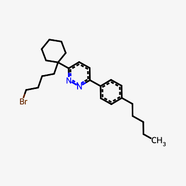 CCCCCc1ccc(-c2ccc(C3(CCCCBr)CCCCC3)nn2)cc1